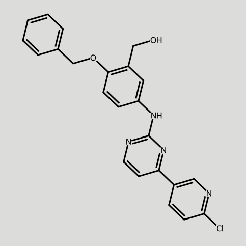 OCc1cc(Nc2nccc(-c3ccc(Cl)nc3)n2)ccc1OCc1ccccc1